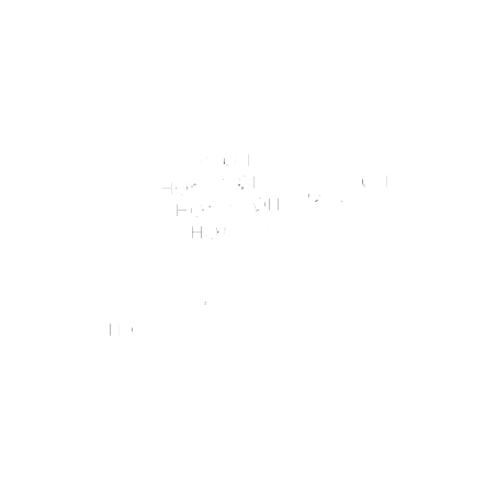 CCCCCCCCCc1ccc(OCCO)cc1.OCCO.OCCO.OCCO